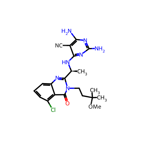 COC(C)(C)CCn1c([C@H](C)Nc2nc(N)nc(N)c2C#N)nc2cccc(Cl)c2c1=O